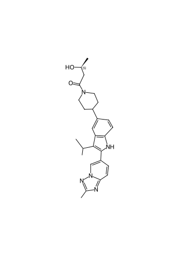 Cc1nc2ccc(-c3[nH]c4ccc(C5CCN(C(=O)C[C@H](C)O)CC5)cc4c3C(C)C)cn2n1